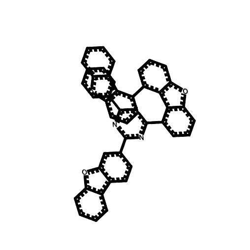 c1ccc(-c2nc(-c3ccc4c(c3)oc3ccccc34)nc(-c3cccc4oc5cccc(-c6cccc7oc8ccccc8c67)c5c34)n2)cc1